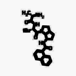 C[C@H](N)C(=O)N[C@H](C(=O)N1CCC2CCC(NC(=O)c3cccc4ccccc34)C21)C(C)(C)C